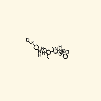 CCc1cc(-c2ccc(NS(=O)(=O)c3ccccc3Cl)nc2C)cc2cnc(N[C@H]3CC[C@H](N(C)CC4CCC4)CC3)nc12